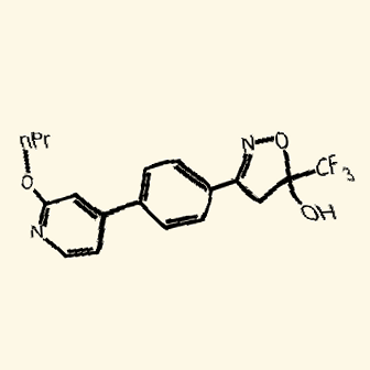 CCCOc1cc(-c2ccc(C3=NOC(O)(C(F)(F)F)C3)cc2)ccn1